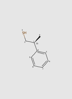 C[C@H](CS)c1ccccc1